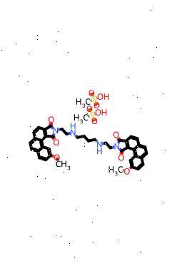 COc1ccc2ccc3ccc4c(c3c2c1)C(=O)N(CCNCCCCNCCN1C(=O)c2ccc3ccc5ccc(OC)cc5c3c2C1=O)C4=O.CS(=O)(=O)O.CS(=O)(=O)O